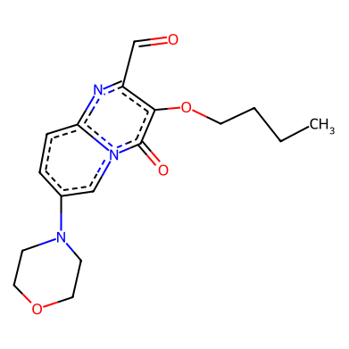 CCCCOc1c(C=O)nc2ccc(N3CCOCC3)cn2c1=O